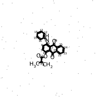 C=C(C)C(=O)Oc1ccc(Nc2ccccc2)c2c1C(=O)c1ccccc1C2=O